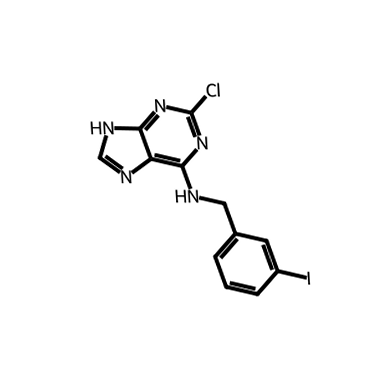 Clc1nc(NCc2cccc(I)c2)c2nc[nH]c2n1